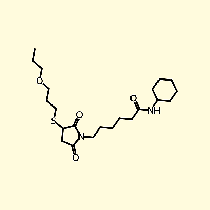 CCCOCCCSC1CC(=O)N(CCCCCC(=O)NC2CCCCC2)C1=O